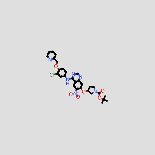 CC(C)(C)OC(=O)N1CCC(Oc2cc3ncnc(Nc4ccc(OCc5ccccn5)c(Cl)c4)c3cc2[N+](=O)[O-])C1